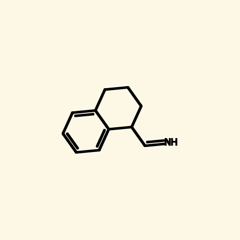 N=CC1CCCc2ccccc21